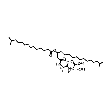 CC(C)CCCCCCCCCCCC(=O)OC(CCCCCCCCCCCC(C)C)CC(=O)N[C@@H](C)C(=O)N[C@@H](CO)C(=O)O